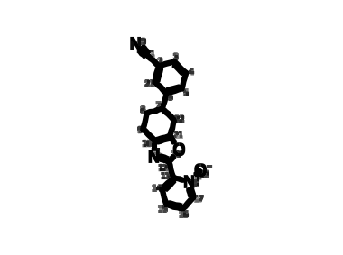 N#Cc1cccc(C2CCc3nc(-c4cccc[n+]4[O-])oc3C2)c1